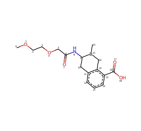 COCCOCC(=O)NC1Cc2cccc(C(=O)O)c2CB1C